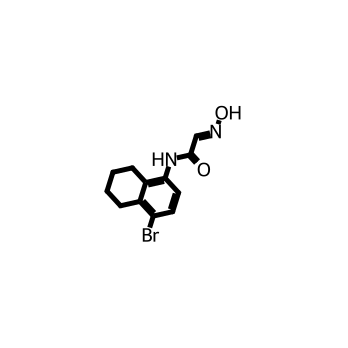 O=C(C=NO)Nc1ccc(Br)c2c1CCCC2